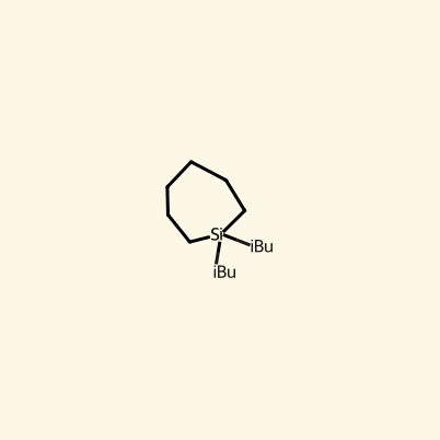 CCC(C)[Si]1(C(C)CC)CCCCCC1